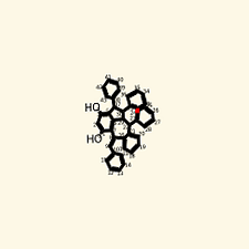 Oc1cc(O)c2c3c1/C(=C/c1ccccc1)c1ccccc1C(c1ccccc1)C3C(c1ccccc1)C2c1ccccc1